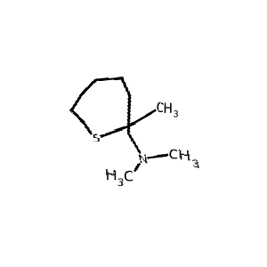 CN(C)C1(C)CCCS1